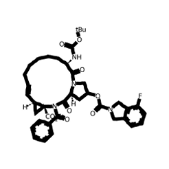 CCOC(=O)[C@@]12C[C@H]1/C=C/CCCCC[C@H](NC(=O)OC(C)(C)C)C(=O)N1CC(OC(=O)N3Cc4cccc(F)c4C3)C[C@H]1C(=O)N2C(=O)c1ccccc1